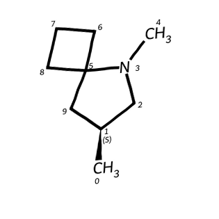 C[C@@H]1CN(C)C2(CCC2)C1